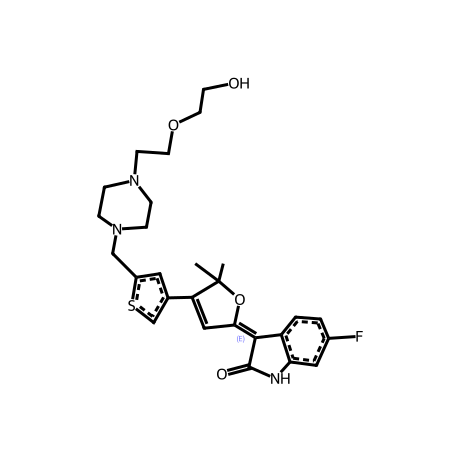 CC1(C)O/C(=C2/C(=O)Nc3cc(F)ccc32)C=C1c1csc(CN2CCN(CCOCCO)CC2)c1